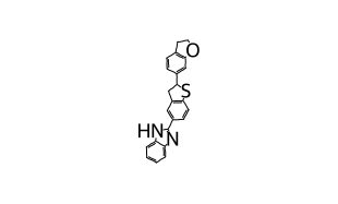 c1ccc2[nH]c(-c3ccc4c(c3)CC(c3ccc5c(c3)OCC5)S4)nc2c1